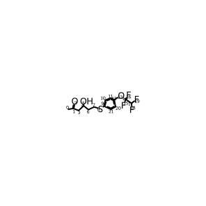 CC(=O)CC(O)CCSc1ccc(OC(F)(F)C(F)F)cc1